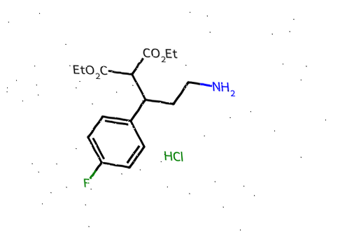 CCOC(=O)C(C(=O)OCC)C(CCN)c1ccc(F)cc1.Cl